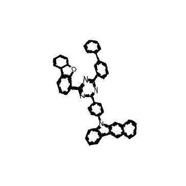 C1=CC2Oc3c(-c4nc(-c5ccc(-n6c7ccccc7c7cc8ccccc8cc76)cc5)nc(-c5cccc(-c6ccccc6)c5)n4)cccc3C2C=C1